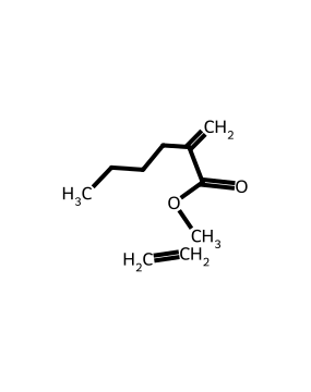 C=C.C=C(CCCC)C(=O)OC